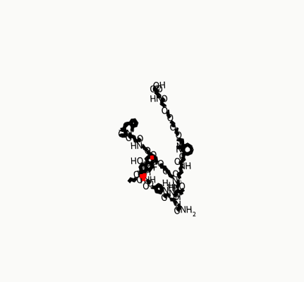 CCCC1O[C@@H]2C[C@H]3[C@@H]4C[C@H](F)C5=CC(=O)C=C[C@]5(C)[C@@]4(F)[C@@H](O)C[C@]3(C)[C@]2(C(=O)CNC(=O)OCc2ccc(NC(=O)[C@H](CCCNC(N)=O)NC(=O)[C@@H](NC(=O)[C@@H](CCCCNC(=O)COC3CCCCCc4c3nnn4CCOCCOCCOCCOCCC(=O)NCCS(=O)(=O)O)NC(=O)CCOCCOCCOCCOCCNC(=O)CCC(=O)N3Cc4ccccc4C#Cc4ccccc43)C(C)C)cc2)O1